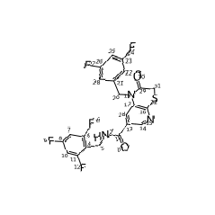 O=C(NCc1c(F)cc(F)cc1F)c1cnc2c(c1)N(Cc1cc(F)cc(F)c1)C(=O)CS2